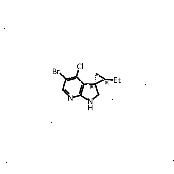 CC[C@@H]1C[C@@]12CNc1ncc(Br)c(Cl)c12